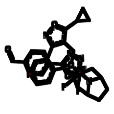 O=Cc1ccc(-c2nnc(N3C4CCC3CC(OCc3c(-c5ccccc5OC(F)(F)F)noc3C3CC3)C4)o2)cn1